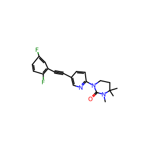 CN1C(=O)N(c2ccc(C#Cc3cc(F)ccc3F)cn2)CCC1(C)C